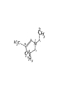 CCN(C=C(C)C)CC